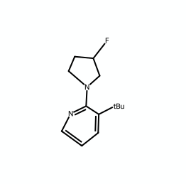 CC(C)(C)c1cccnc1N1CCC(F)C1